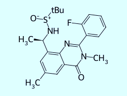 Cc1cc([C@@H](C)N[S+]([O-])C(C)(C)C)c2nc(-c3ccccc3F)n(C)c(=O)c2c1